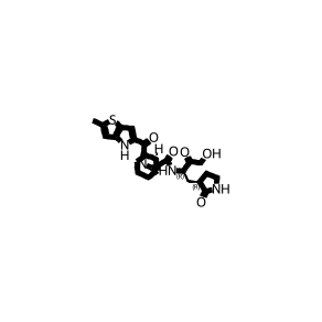 Cc1cc2[nH]c(C(=O)N3C4CCC(CC4)[C@@H]3C(=O)N[C@H](C[C@H]3CCNC3=O)C(=O)CO)cc2s1